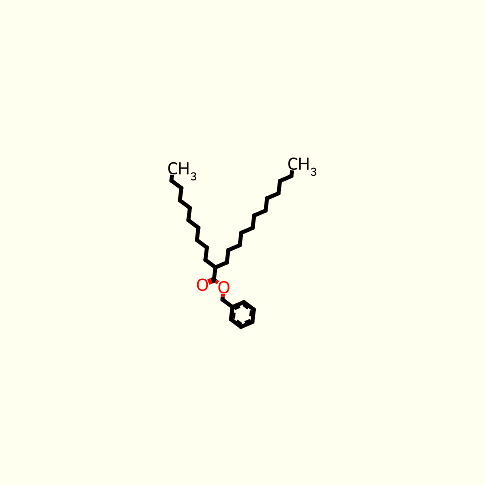 CCCCCCCCCCCCC(CCCCCCCCCC)C(=O)OCc1ccccc1